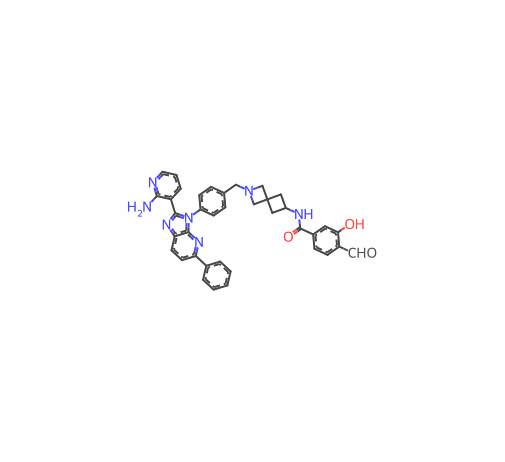 Nc1ncccc1-c1nc2ccc(-c3ccccc3)nc2n1-c1ccc(CN2CC3(CC(NC(=O)c4ccc(C=O)c(O)c4)C3)C2)cc1